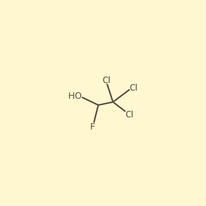 OC(F)C(Cl)(Cl)Cl